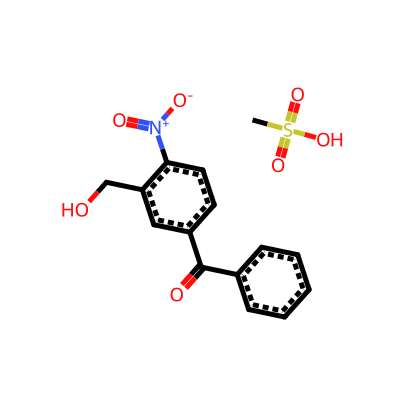 CS(=O)(=O)O.O=C(c1ccccc1)c1ccc([N+](=O)[O-])c(CO)c1